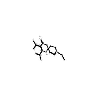 CCN1CCC2(CC1)CC(=O)C(C(C)C)=C(C(C)C)O2